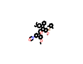 CCOc1ccc(C2(c3ccc(N4CCOCC4)cc3)C=Cc3c4c(c5cc(Sc6c(C)cccc6C)c(OC)cc5c3O2)-c2ccccc2C42CCC(CC)(CC)CC2)cc1